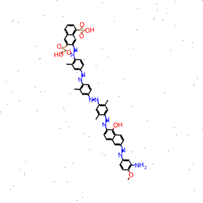 COc1ccc(N=Nc2ccc3c(O)c(N=Nc4cc(C)c(N=Nc5ccc(N=Nc6ccc(N=Nc7cc8c(S(=O)(=O)O)cccc8cc7S(=O)(=O)O)c(C)c6)c(C)c5)cc4C)ccc3c2)cc1N